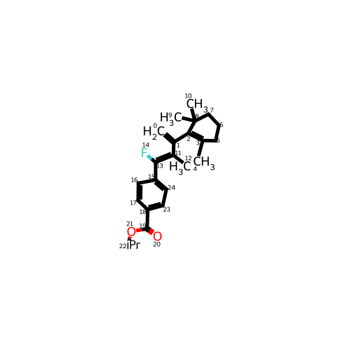 C=C(C1=C(C)CCCC1(C)C)/C(C)=C(\F)c1ccc(C(=O)OC(C)C)cc1